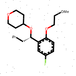 COCCOc1ccc(F)cc1[C@H](CC(C)C)OC1CCOCC1